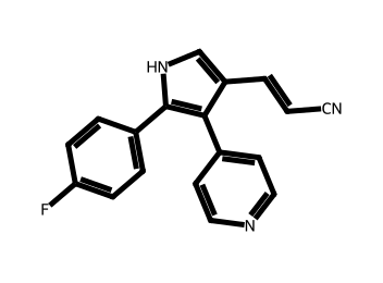 N#CC=Cc1c[nH]c(-c2ccc(F)cc2)c1-c1ccncc1